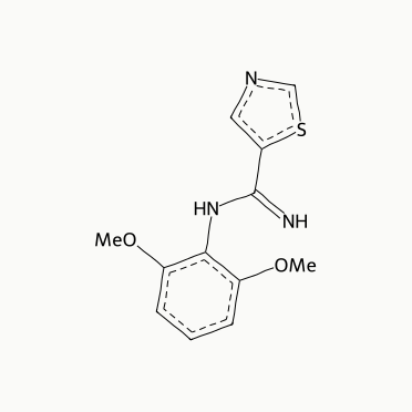 COc1cccc(OC)c1NC(=N)c1cncs1